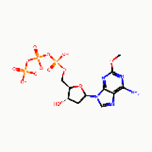 COc1nc(N)c2ncn([C@H]3C[C@H](O)[C@@H](COP(=O)(O)OP(=O)(O)OP(=O)(O)O)O3)c2n1